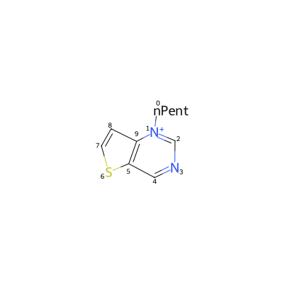 CCCCC[n+]1cncc2sccc21